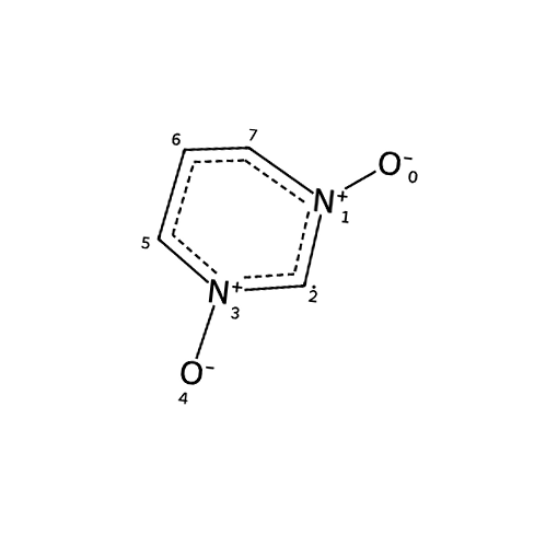 [O-][n+]1[c][n+]([O-])ccc1